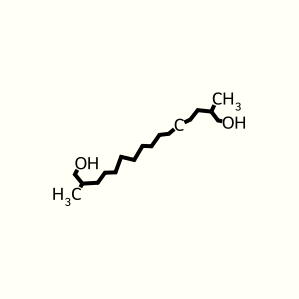 CC(CO)CCCCCCCCCCCCC(C)CO